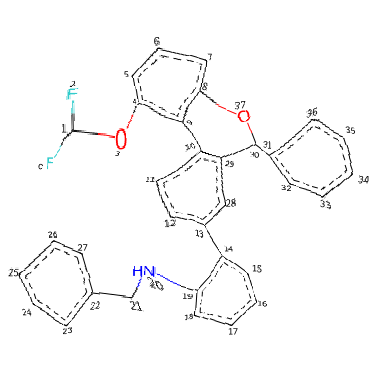 FC(F)Oc1cccc2c1-c1ccc(-c3ccccc3NCc3ccccc3)cc1C(c1ccccc1)O2